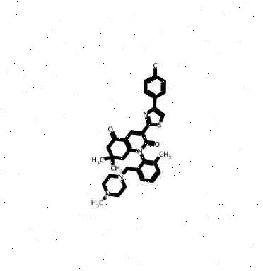 Cc1cccc(CN2CCN(C)CC2)c1-n1c2c(cc(-c3nc(-c4ccc(Cl)cc4)cs3)c1=O)C(=O)CC(C)(C)C2